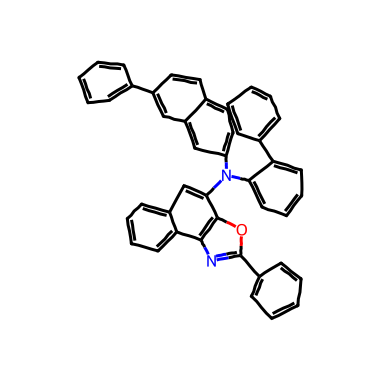 c1ccc(-c2ccc3ccc(N(c4ccccc4-c4ccccc4)c4cc5ccccc5c5nc(-c6ccccc6)oc45)cc3c2)cc1